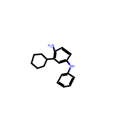 Nc1ccc(Nc2ccccc2)cc1C1CCCCC1